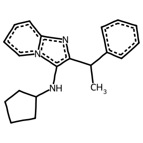 CC(c1ccccc1)c1nc2ccccn2c1NC1CCCC1